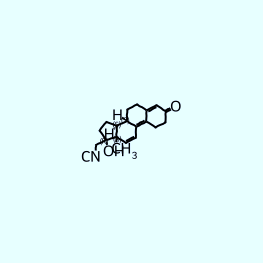 C[C@]12C=CC3=C4CCC(=O)C=C4CC[C@H]3[C@@H]1CC[C@@]2(O)CC#N